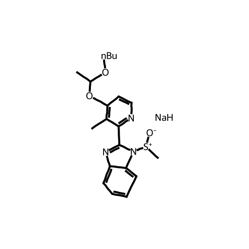 CCCCOC(C)Oc1ccnc(-c2nc3ccccc3n2[S+](C)[O-])c1C.[NaH]